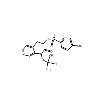 Cc1ccc(S(=O)(=O)OCCc2ccccc2N(C=O)OC(C)(C)C)cc1